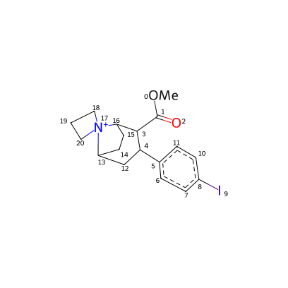 COC(=O)C1C(c2ccc(I)cc2)CC2CCC1[N+]21CCC1